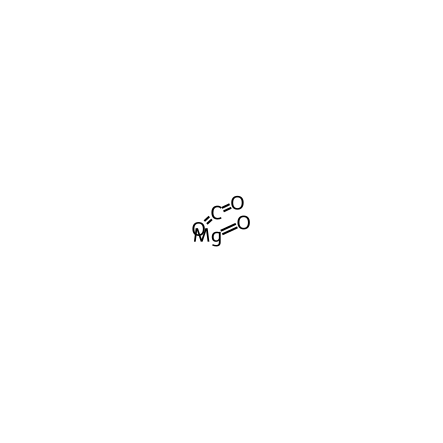 O=C=O.[O]=[Mg]